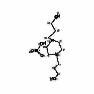 O=[SH](=O)O.OCCCN1CCN(CCCO)CC1